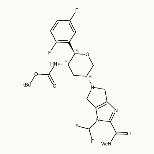 CNC(=O)c1nc2c(n1C(F)F)CN([C@H]1CO[C@H](c3cc(F)ccc3F)[C@@H](NC(=O)OC(C)(C)C)C1)C2